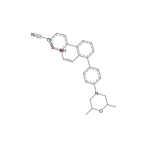 CC1CN(c2ccc(-c3cccc(-c4ccc(C#N)cc4)c3/C=C\NC=O)cc2)CC(C)O1